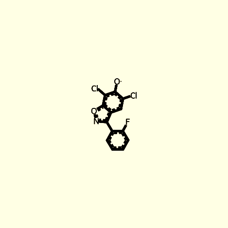 [O]c1c(Cl)cc2c(-c3ccccc3F)noc2c1Cl